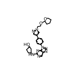 O[C@@H]1CC[C@@H](Nc2ncc3nnn(-c4ccc(-c5cnn(CCOC6CCCCO6)c5)cc4)c3n2)C1